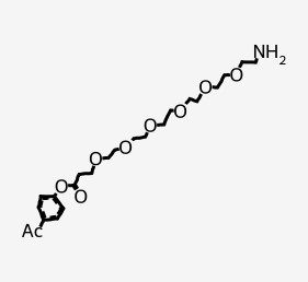 CC(=O)c1ccc(OC(=O)CCOCCOCCOCCOCCOCCOCCN)cc1